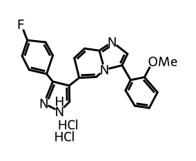 COc1ccccc1-c1cnc2ccc(-c3c[nH]nc3-c3ccc(F)cc3)cn12.Cl.Cl